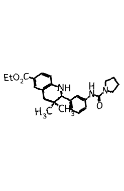 CCOC(=O)c1ccc2c(c1)CC(C)(C)C(c1cccc(NC(=O)N3CCCC3)c1)N2